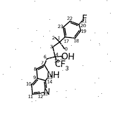 CC(C)(CC(O)(Cc1cc2cccnc2[nH]1)C(F)(F)F)c1ccc(F)cc1